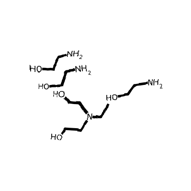 CCN(CCO)CCO.NCCO.NCCO.NCCO